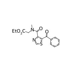 CCOC(=O)CN(C)C(=O)c1ncsc1C(=O)c1ccccc1